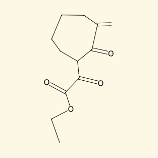 C=C1CCCCC(C(=O)C(=O)OCC)C1=O